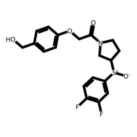 O=C(COc1ccc(CO)cc1)N1CCC([S+]([O-])c2ccc(F)c(F)c2)C1